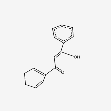 O=C(/C=C(\O)c1ccccc1)C1=CCCC=C1